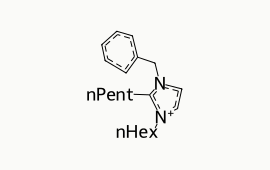 CCCCCC[n+]1ccn(Cc2ccccc2)c1CCCCC